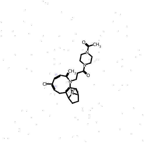 C=C1/C=C\C(Cl)=C/CC2=C(CC3CCC2N3C)N1CCC(=O)N1CCN(C(C)=O)CC1